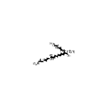 CCCCCCCCC(O)C(CCCCCCCC(=O)NCCNCCN)NCCNCCN